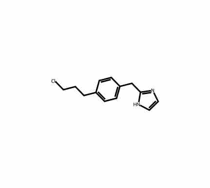 ClCCCc1ccc(Cc2ncc[nH]2)cc1